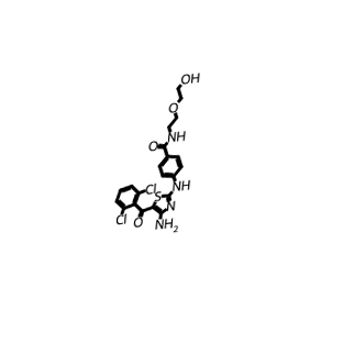 Nc1nc(Nc2ccc(C(=O)NCCOCCO)cc2)sc1C(=O)c1c(Cl)cccc1Cl